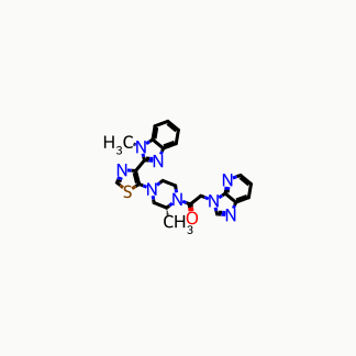 C[C@@H]1CN(c2scnc2-c2nc3ccccc3n2C)CCN1C(=O)Cn1cnc2cccnc21